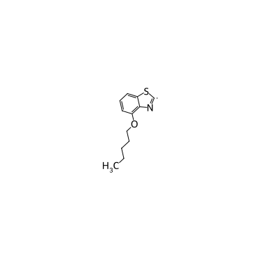 CCCCCOc1cccc2s[c]nc12